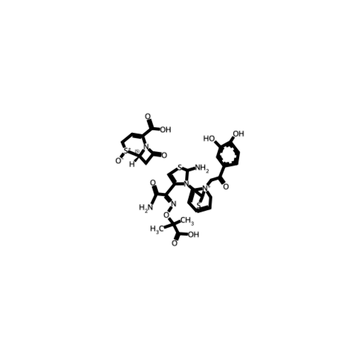 CC(C)(ON=C(C(N)=O)C1=CSC(N)N1C1SC2=CC[N+]1(CC(=O)c1ccc(O)c(O)c1)C=C2)C(=O)O.O=C(O)C1=CC[S+]([O-])[C@H]2CC(=O)N12